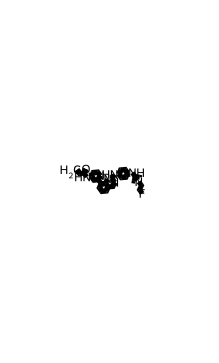 C=CC(=O)Nc1ccnc(-c2cccc3cnc(Nc4ccc(NC5CN(CCF)C5)cc4)nc23)c1